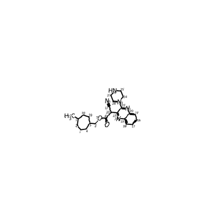 CC1CCCC(COC(=O)C(C#N)c2nc3ccccc3nc2N2CCNCC2)CC1